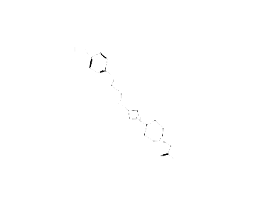 O=C(O)CN1CCC(N2CC(OCCOc3ccc(O)cc3)C2)CC1